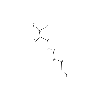 CCCCCCCC(Br)C(=O)Cl